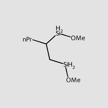 CCCC(C[SiH2]OC)[SiH2]OC